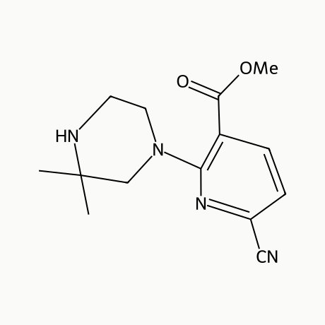 COC(=O)c1ccc(C#N)nc1N1CCNC(C)(C)C1